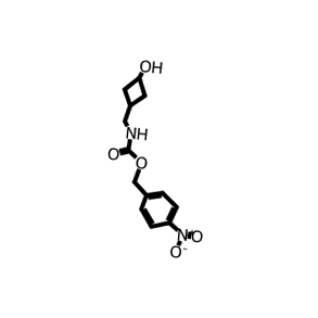 O=C(NCC1CC(O)C1)OCc1ccc([N+](=O)[O-])cc1